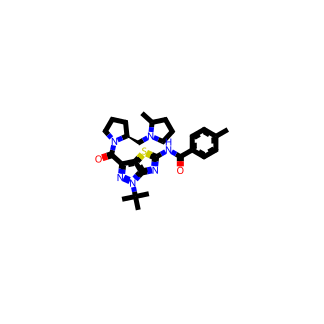 Cc1ccc(C(=O)Nc2nc3c(s2)c(C(=O)N2CCC[C@H]2CN2CCCC2C)nn3C(C)(C)C)cc1